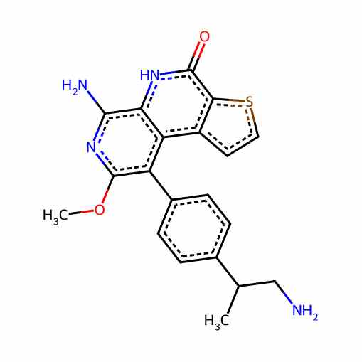 COc1nc(N)c2[nH]c(=O)c3sccc3c2c1-c1ccc(C(C)CN)cc1